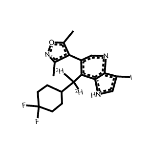 [2H]C([2H])(c1c(-c2c(C)noc2C)cnc2c(I)c[nH]c12)C1CCC(F)(F)CC1